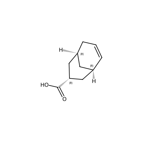 O=C(O)[C@H]1C[C@@H]2C=CC[C@@H](C2)C1